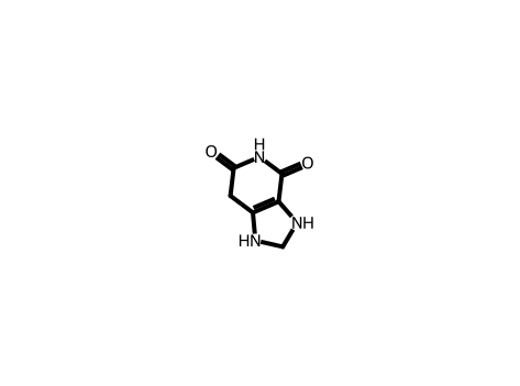 O=C1CC2=C(NCN2)C(=O)N1